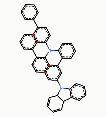 C1=CC2c3ccccc3N(c3cccc(-c4ccccc4N(c4ccc(-c5ccccc5)cc4)c4ccccc4-c4ccccc4)c3)C2C=C1